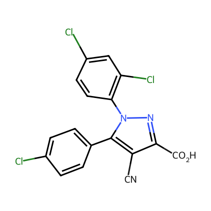 N#Cc1c(C(=O)O)nn(-c2ccc(Cl)cc2Cl)c1-c1ccc(Cl)cc1